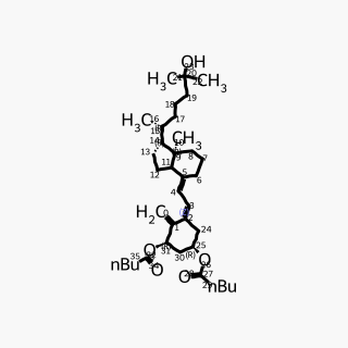 C=C1/C(=C\C=C2CCC[C@@]3(C)C2CC[C@@H]3[C@H](C)CCCC(C)(C)O)C[C@@H](OC(=O)CCCC)C[C@H]1OC(=O)CCCC